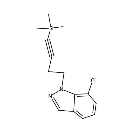 C[Si](C)(C)C#CCCn1ncc2cccc(Cl)c21